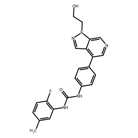 Cc1ccc(F)c(NC(=O)Nc2ccc(-c3cncc4c3cnn4CCO)cc2)c1